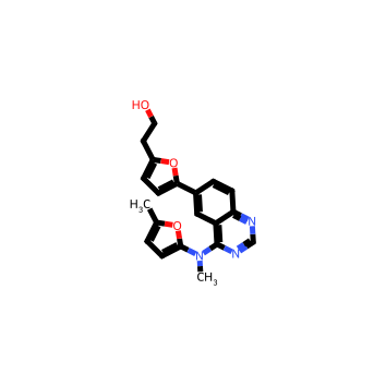 Cc1ccc(N(C)c2ncnc3ccc(-c4ccc(CCO)o4)cc23)o1